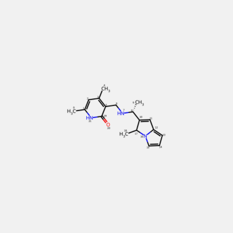 Cc1cc(C)c(CN[C@H](C)C2=Cc3cccn3C2C)c(=O)[nH]1